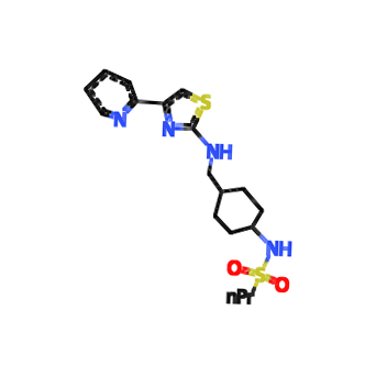 CCCS(=O)(=O)NC1CCC(CNc2nc(-c3ccccn3)cs2)CC1